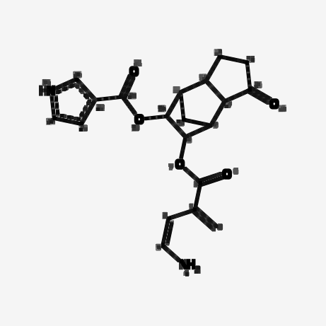 C=C(/C=C\N)C(=O)OC1C2CC(C3CCC(=O)C32)C1OC(=O)c1cc[nH]c1